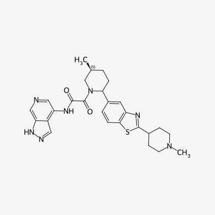 C[C@H]1CCC(c2ccc3sc(C4CCN(C)CC4)nc3c2)N(C(=O)C(=O)Nc2cncc3[nH]ncc23)C1